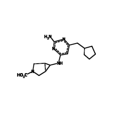 Nc1nc(CC2CCCC2)cc(NC2C3CN(C(=O)O)CC32)n1